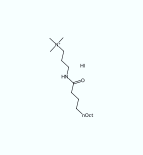 CCCCCCCCCCCC(=O)NCCC[N+](C)(C)C.I